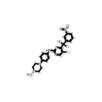 CN1CCN(c2ccc(Nc3ncc(F)c(C(F)(F)c4cccc([N+](=O)[O-])c4)n3)cc2)CC1